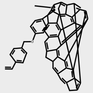 C=Cc1ccc(COc2ccc(C3N(C)CC4C5=c6c7c8c9c(cc%10cc%11c%12c%13c%14c%15c(cc%16c%17c(c6c6c7c7c9c%10c%12c7c%14c6c%17%15)=C(C5)C%16)=CC%13C%11)CC843)cc2)cc1